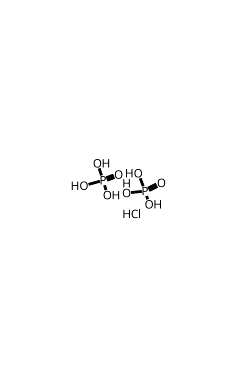 Cl.O=P(O)(O)O.O=P(O)(O)O